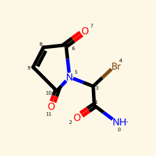 [NH]C(=O)C(Br)N1C(=O)C=CC1=O